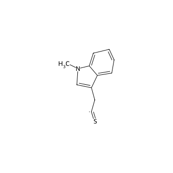 Cn1cc(C[C]=S)c2ccccc21